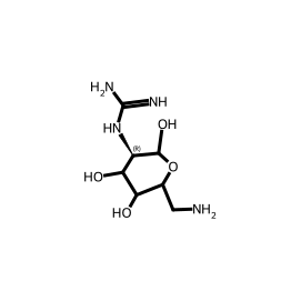 N=C(N)N[C@H]1C(O)OC(CN)C(O)C1O